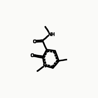 CNC(=O)c1cc(C)cn(C)c1=O